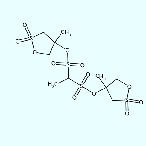 CC(S(=O)(=O)OC1(C)COS(=O)(=O)C1)S(=O)(=O)OC1(C)COS(=O)(=O)C1